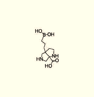 O=C(O)C12CNCC1(CCCB(O)O)CCN2